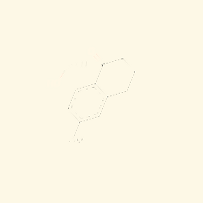 COc1ccc2c(c1)CCCC2=O.O=S(=O)(O)O